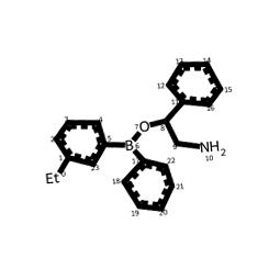 CCc1cccc(B(OC(CN)c2ccccc2)c2ccccc2)c1